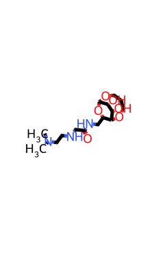 CN(C)CCNCC(=O)NCC1OC2OCCCOC1C(O)C2O